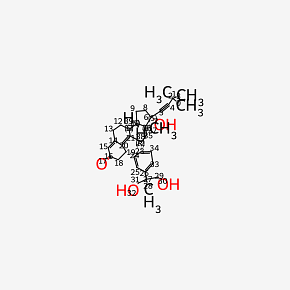 CC(C)(C)C#C[C@]1(O)CC[C@H]2[C@@H]3CCC4=CC(=O)CCC4=C3[C@@H](c3ccc(C(C)(CO)CO)cc3)C[C@@]21C